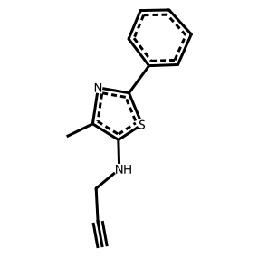 C#CCNc1sc(-c2ccccc2)nc1C